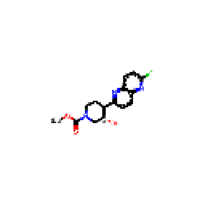 CC(C)(C)OC(=O)N1CCC(c2ccc3nc(Cl)ccc3n2)[C@H](O)C1